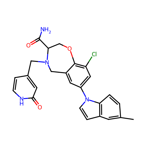 Cc1ccc2c(ccn2-c2cc(Cl)c3c(c2)CN(Cc2cc[nH]c(=O)c2)C(C(N)=O)CO3)c1